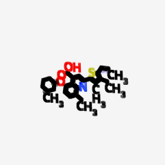 C/C=C\c1sc(-c2cc(C(=O)O)c3c(O[C@@H]4CCC[C@@H](C)C4)ccc(CC)c3n2)c(C)c1CC